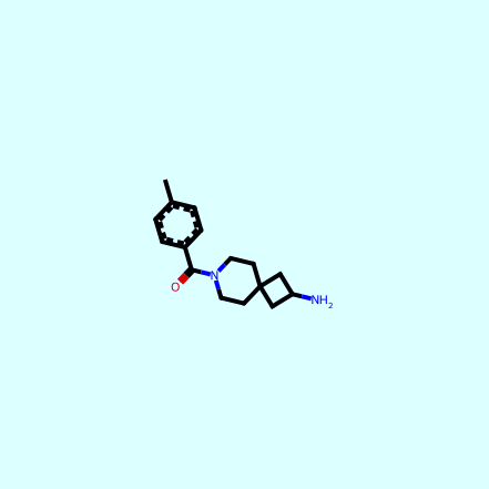 Cc1ccc(C(=O)N2CCC3(CC2)CC(N)C3)cc1